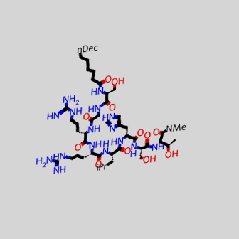 CCCCCCCCCCCCCCCC(=O)N[C@@H](CO)C(=O)NCC(=O)N[C@@H](CCCNC(=N)N)C(=O)N[C@@H](CCCNC(=N)N)C(=O)N[C@@H](CC(C)C)C(=O)N[C@@H](Cc1c[nH]cn1)C(=O)N[C@@H](CO)C(=O)N[C@H](C(=O)NC)[C@@H](C)O